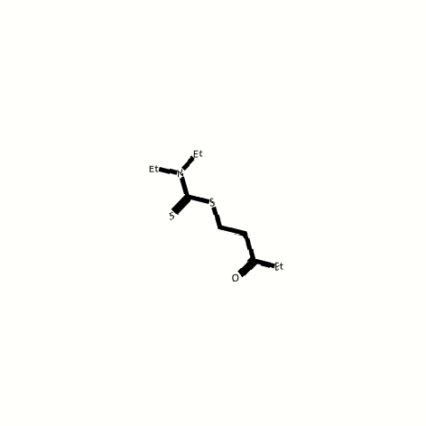 CCC(=O)CCSC(=S)N(CC)CC